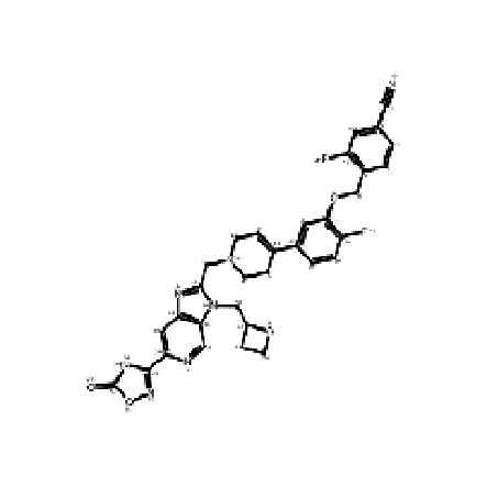 N#Cc1ccc(COc2cc(C3=CCN(Cc4nc5cc(-c6noc(=O)[nH]6)ncc5n4CC4CCO4)CC3)ccc2F)c(F)c1